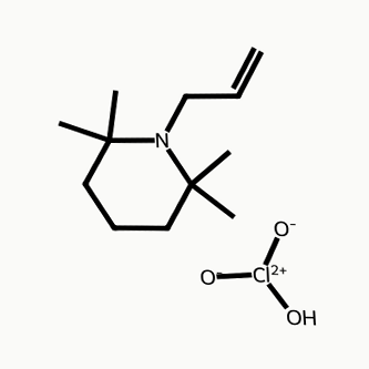 C=CCN1C(C)(C)CCCC1(C)C.[O-][Cl+2]([O-])O